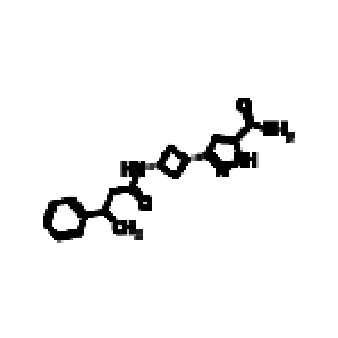 CC(CC(=O)N[C@H]1C[C@@H](c2cc(C(N)=O)[nH]n2)C1)c1ccccc1